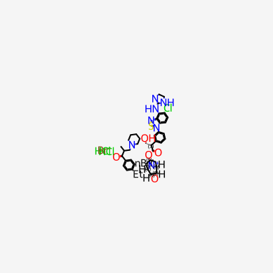 CCCC[N+]1(C)[C@@H]2C[C@@H](OC(=O)[C@H](CO)c3ccccc3)C[C@H]1[C@@H]1O[C@@H]12.CCc1ccc(C(=O)C(C)CN2CCCCC2)cc1.Cl.Cl.Clc1ccc2nsnc2c1NC1=NCCN1.[Br-]